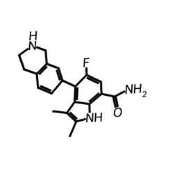 Cc1[nH]c2c(C(N)=O)cc(F)c(-c3ccc4c(c3)CNCC4)c2c1C